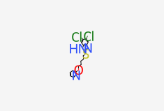 Clc1cc2nc(SCCCCCOc3ccccn3)[nH]c2cc1Cl